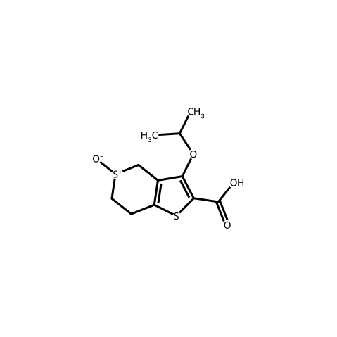 CC(C)Oc1c(C(=O)O)sc2c1C[S+]([O-])CC2